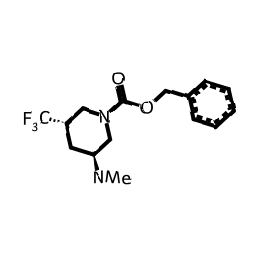 CN[C@H]1C[C@H](C(F)(F)F)CN(C(=O)OCc2ccccc2)C1